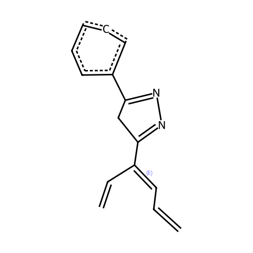 C=C/C=C(\C=C)C1=NN=C(c2ccccc2)C1